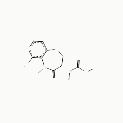 CN1C(=O)[C@@H](N(C)C(=O)OC(C)(C)C)COc2ccnc(F)c21